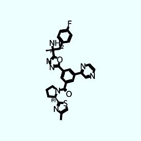 Cc1csc([C@H]2CCCN2C(=O)c2cc(-c3cnccn3)cc(-c3nnc([C@](C)(N)Cc4ccc(F)cc4)o3)c2)n1